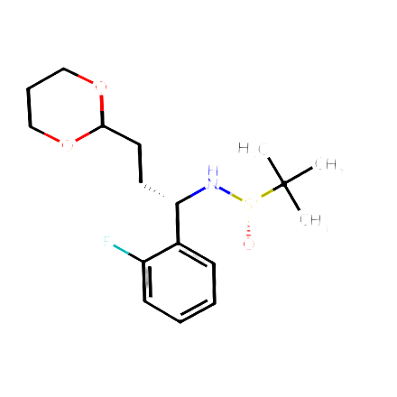 CC(C)(C)[S@+]([O-])N[C@@H](CCC1OCCCO1)c1ccccc1F